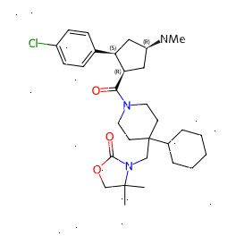 CN[C@@H]1C[C@H](c2ccc(Cl)cc2)[C@H](C(=O)N2CCC(CN3C(=O)OCC3(C)C)(C3CCCCC3)CC2)C1